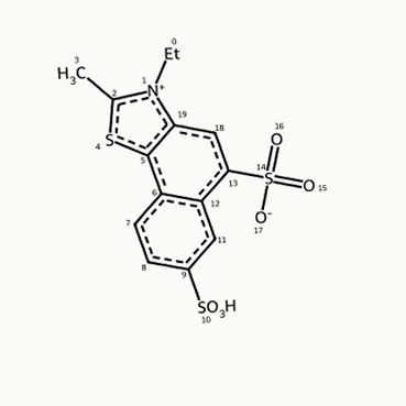 CC[n+]1c(C)sc2c3ccc(S(=O)(=O)O)cc3c(S(=O)(=O)[O-])cc21